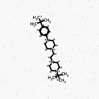 CC(C)(C)c1ccc(N2CCN(CCN3CCN(C(C)(C)C)CC3)CC2)cc1